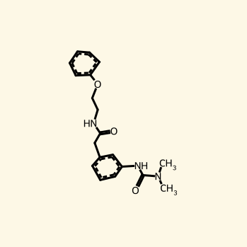 CN(C)C(=O)Nc1cccc(CC(=O)NCCOc2ccccc2)c1